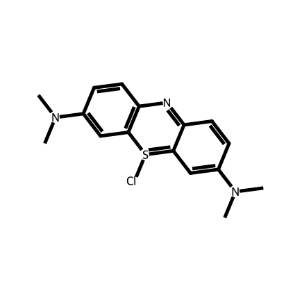 CN(C)c1ccc2c(c1)S(Cl)=c1cc(N(C)C)ccc1=N2